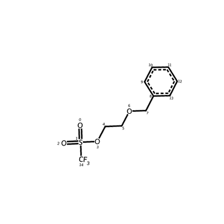 O=S(=O)(OCCOCc1ccccc1)C(F)(F)F